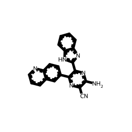 N#Cc1nc(-c2ccc3ncccc3c2)c(-c2nc3ccccc3[nH]2)nc1N